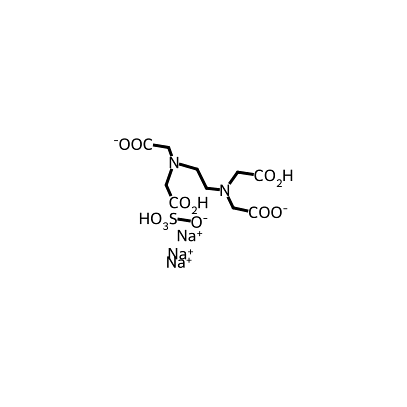 O=C([O-])CN(CCN(CC(=O)[O-])CC(=O)O)CC(=O)O.O=S(=O)([O-])O.[Na+].[Na+].[Na+]